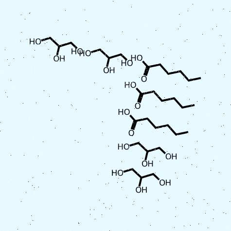 CCCCCC(=O)O.CCCCCC(=O)O.CCCCCC(=O)O.OCC(O)CO.OCC(O)CO.OCC(O)CO.OCC(O)CO